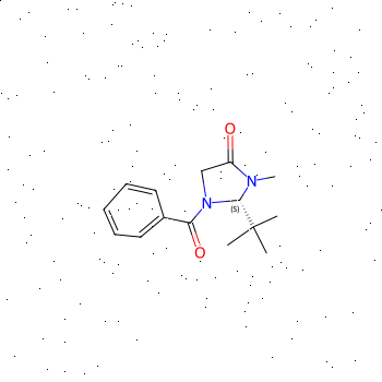 CN1C(=O)CN(C(=O)c2ccccc2)[C@H]1C(C)(C)C